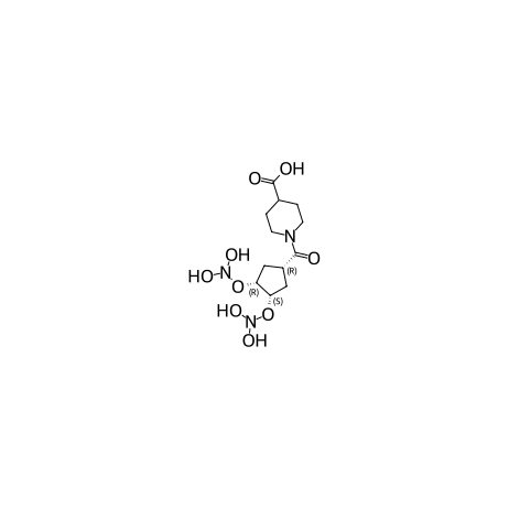 O=C(O)C1CCN(C(=O)[C@@H]2C[C@H](ON(O)O)[C@H](ON(O)O)C2)CC1